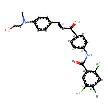 CN(CCO)c1ccc(/C=C/C(=O)c2ccc(NC(=O)c3cc(F)c(Cl)cc3Cl)cc2)cc1